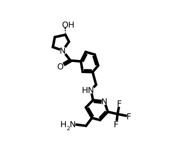 NCc1cc(NCc2cccc(C(=O)N3CC[C@H](O)C3)c2)nc(C(F)(F)F)c1